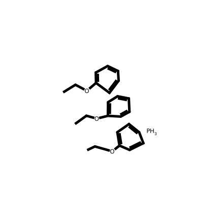 CCOc1ccccc1.CCOc1ccccc1.CCOc1ccccc1.P